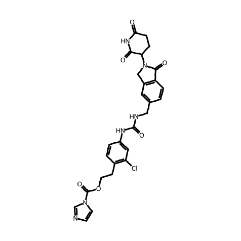 O=C1CCC(N2Cc3cc(CNC(=O)Nc4ccc(CCOC(=O)n5ccnc5)c(Cl)c4)ccc3C2=O)C(=O)N1